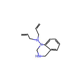 C=CCN(CC=C)N1CNCc2ccccc21